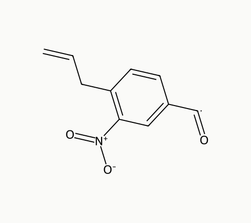 C=CCc1ccc([C]=O)cc1[N+](=O)[O-]